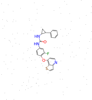 O=C(Nc1ccc(Oc2ccnc3ccsc23)c(F)c1)NC1CC1c1ccccc1